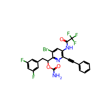 NC(=O)OC(Cc1cc(F)cc(F)c1)c1nc(C#Cc2ccccc2)c(NC(=O)C(F)(F)F)cc1Br